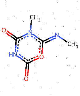 CN=c1oc(=O)[nH]c(=O)n1C